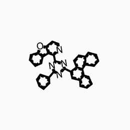 c1ccc(-c2nc(-c3cc4ccccc4c4c3ccc3ccccc34)nc(-c3nccc4oc5ccccc5c34)n2)cc1